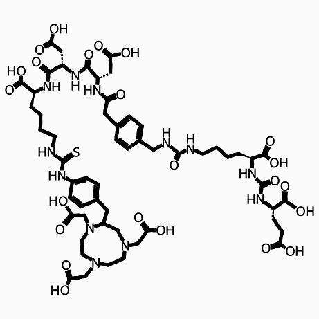 O=C(O)CC[C@H](NC(=O)N[C@@H](CCCCNC(=O)NCc1ccc(CC(=O)N[C@@H](CC(=O)O)C(=O)N[C@@H](CC(=O)O)C(=O)N[C@@H](CCCCNC(=S)Nc2ccc(CC3CN(CC(=O)O)CCN(CC(=O)O)CCN3CC(=O)O)cc2)C(=O)O)cc1)C(=O)O)C(=O)O